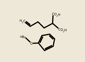 C=CCCC(C(=O)O)C(=O)O.CCCCOc1ccccc1